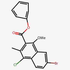 COc1c(C(=O)Oc2ccccc2)c(C)c(Cl)c2ccc(Br)cc12